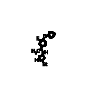 CCC1CC(NC(C)c2ccc(Oc3ccccc3)c(F)c2)=CN1